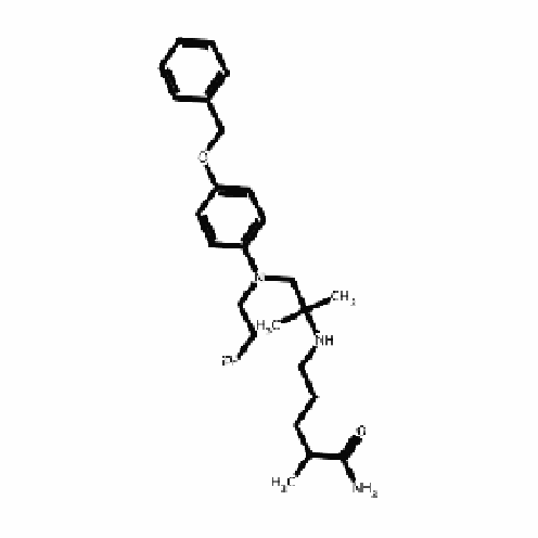 CC(C)CCN(CC(C)(C)NC[CH]CC(C)C(N)=O)c1ccc(OCc2ccccc2)cc1